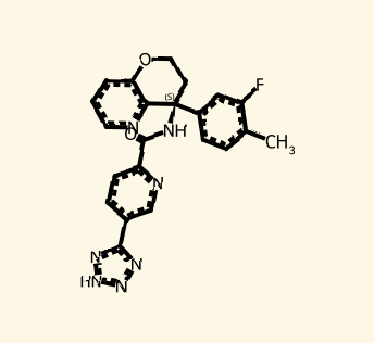 Cc1ccc([C@@]2(NC(=O)c3ccc(-c4nn[nH]n4)cn3)CCOc3cccnc32)cc1F